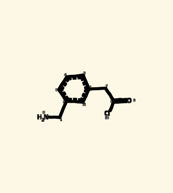 NCc1cccc(CC(=O)Cl)c1